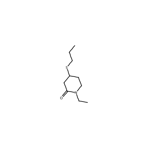 CCCSC1CCN(CC)C(=O)C1